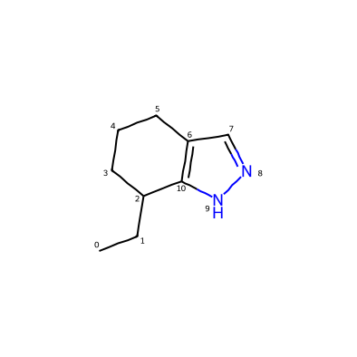 CCC1CCCc2cn[nH]c21